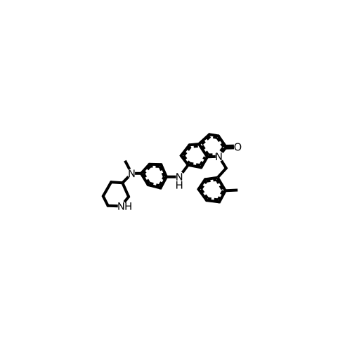 Cc1ccccc1Cn1c(=O)ccc2ccc(Nc3ccc(N(C)C4CCCNC4)cc3)cc21